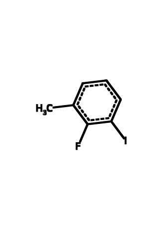 Cc1cccc(I)c1F